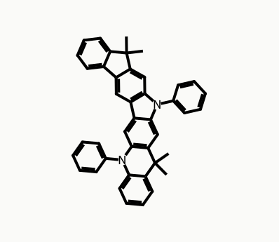 CC1(C)c2ccccc2-c2cc3c4cc5c(cc4n(-c4ccccc4)c3cc21)C(C)(C)c1ccccc1N5c1ccccc1